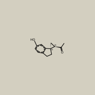 CC(=O)[C@@H]1C[C@@]12CCc1ccc(O)cc12